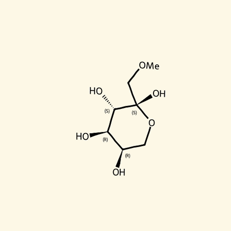 COC[C@]1(O)OC[C@@H](O)[C@@H](O)[C@@H]1O